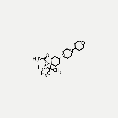 CC(C)(C)[C@]1(OC(N)=O)CC[C@H](N2CCN(C3CCOCC3)CC2)CC1